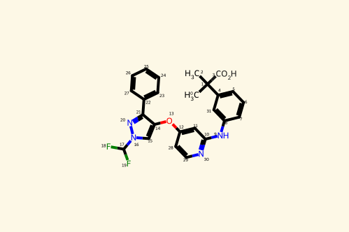 CC(C)(C(=O)O)c1cccc(Nc2cc(Oc3cn(C(F)F)nc3-c3ccccc3)ccn2)c1